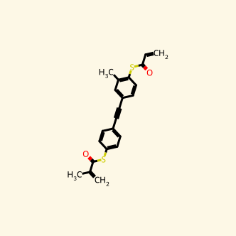 C=CC(=O)Sc1ccc(C#Cc2ccc(SC(=O)C(=C)C)cc2)cc1C